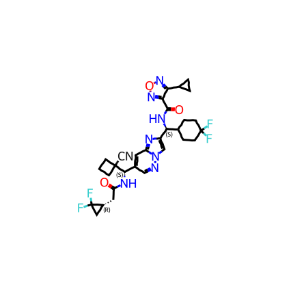 N#CC1([C@@H](NC(=O)C[C@@H]2CC2(F)F)c2cnn3cc([C@@H](NC(=O)c4nonc4C4CC4)C4CCC(F)(F)CC4)nc3c2)CCC1